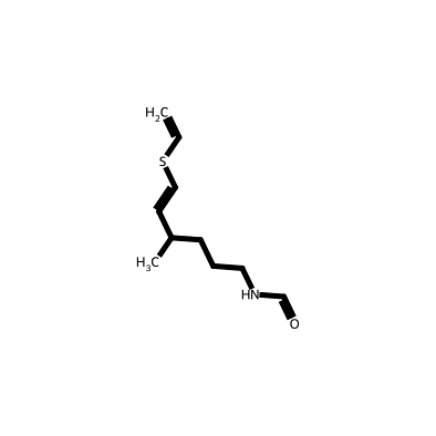 C=CS/C=C/C(C)CCCNC=O